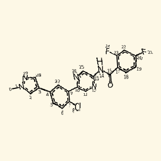 Cn1cc(-c2ccc(Cl)c(-c3cnc(NC(=O)c4ccc(F)cc4F)cn3)c2)cn1